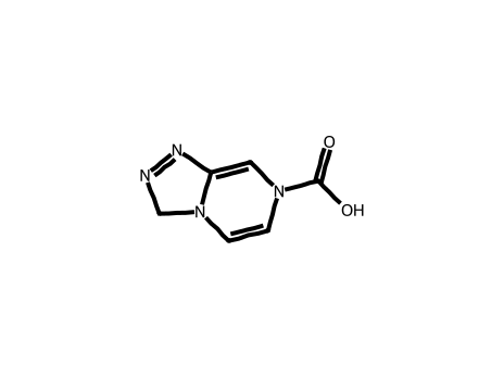 O=C(O)N1C=CN2CN=NC2=C1